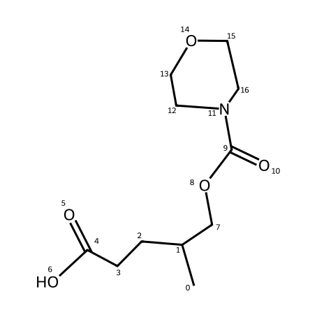 CC(CCC(=O)O)COC(=O)N1CCOCC1